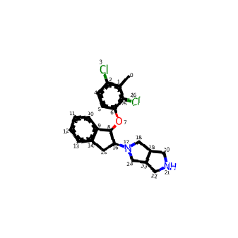 Cc1c(Cl)ccc(OC2c3ccccc3CC2N2CC3CNCC3C2)c1Cl